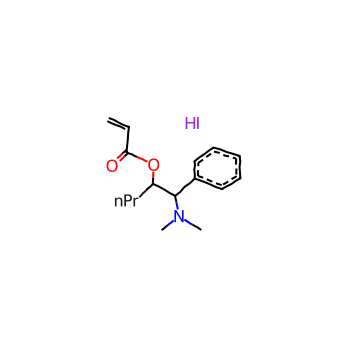 C=CC(=O)OC(CCC)C(c1ccccc1)N(C)C.I